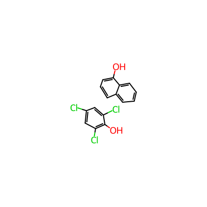 Oc1c(Cl)cc(Cl)cc1Cl.Oc1cccc2ccccc12